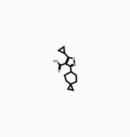 O=C(O)c1c(C2CCC3(CC2)CC3)noc1C1CC1